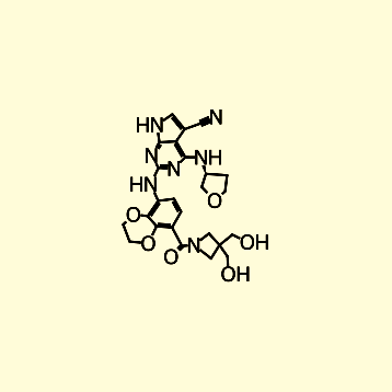 N#Cc1c[nH]c2nc(Nc3ccc(C(=O)N4CC(CO)(CO)C4)c4c3OCCO4)nc(N[C@H]3CCOC3)c12